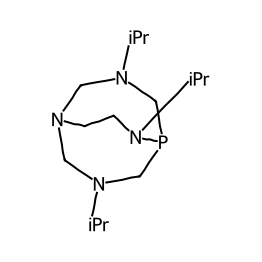 CC(C)N1CN2CCN(C(C)C)P(C1)CN(C(C)C)C2